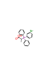 CC(C(=O)O)[P+](c1ccccc1)(c1ccccc1)c1ccccc1.[Br-]